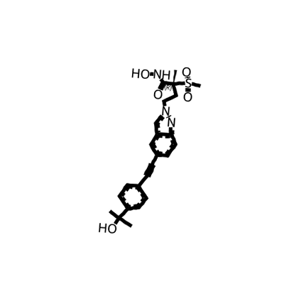 CC(C)(O)c1ccc(C#Cc2ccc3nn(CC[C@](C)(C(=O)NO)S(C)(=O)=O)cc3c2)cc1